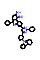 N=C1C=Cc2c(-c3ccccc3)nc3cc(-c4cc(-c5cccc(-n6c7ccccc7c7ccccc76)c5)nc(-c5ccccc5)n4)ccc3c2C1=N